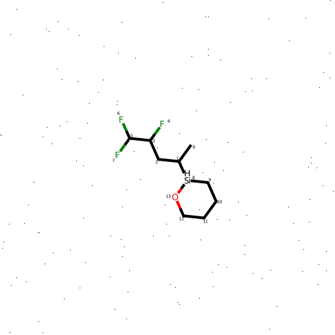 CC(CC(F)C(F)F)[SiH]1CCCCO1